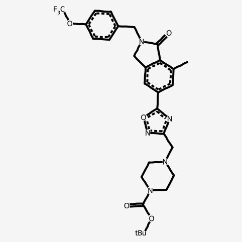 Cc1cc(-c2nc(CN3CCN(C(=O)OC(C)(C)C)CC3)no2)cc2c1C(=O)N(Cc1ccc(OC(F)(F)F)cc1)C2